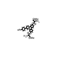 C=C(COC)C(=O)Oc1ccc(-c2ccc(OC(=O)C(=C)COC)cc2-c2ncc(C3CCC(CCC)CC3)cn2)cc1